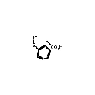 CC(=O)O.CC(C)Sc1ccccc1